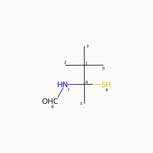 CC(C)(C)C(C)(S)NC=O